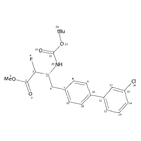 COC(=O)C(F)C(Cc1ccc(-c2cccc(Cl)c2)cc1)NC(=O)OC(C)(C)C